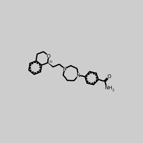 NC(=O)c1ccc(N2CCCN(CC[C@@H]3OCCc4ccccc43)CC2)cc1